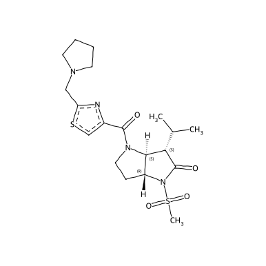 CC(C)[C@@H]1C(=O)N(S(C)(=O)=O)[C@@H]2CCN(C(=O)c3csc(CN4CCCC4)n3)[C@H]21